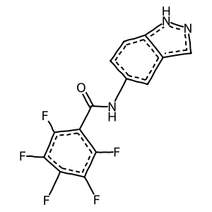 O=C(Nc1ccc2[nH]ncc2c1)c1c(F)c(F)c(F)c(F)c1F